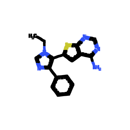 CCn1cnc(-c2ccccc2)c1-c1cc2c(N)ncnc2s1